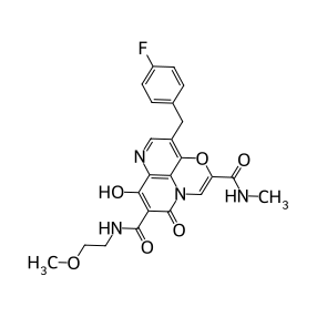 CNC(=O)C1=Cn2c(=O)c(C(=O)NCCOC)c(O)c3ncc(Cc4ccc(F)cc4)c(c32)O1